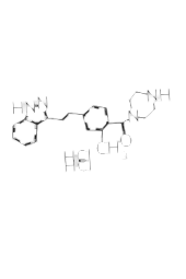 Cc1cc(C=Cc2n[nH]c3ccccc23)ccc1C(=O)N1CCNCC1.Cl.Cl